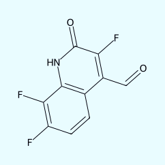 O=Cc1c(F)c(=O)[nH]c2c(F)c(F)ccc12